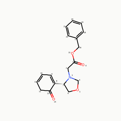 O=C(CN1COC[C@@H]1C1=CC=CCC1=O)OCc1ccccc1